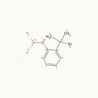 CCC(C)(C)c1ccccc1OC(F)F